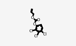 C=CCOC(=O)Oc1ccc(Cl)c(Cl)c1Cl